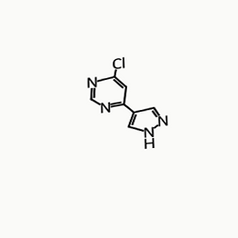 Clc1cc(-c2cn[nH]c2)ncn1